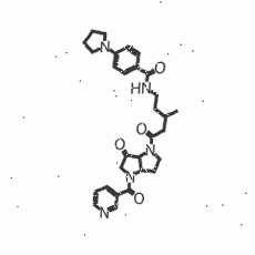 CC(CCNC(=O)c1ccc(N2CCCC2)cc1)CC(=O)N1CCC2C1C(=O)CN2C(=O)c1cccnc1